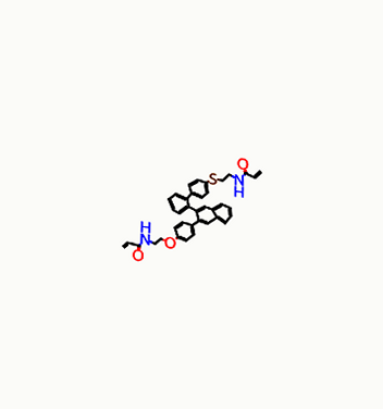 C=CC(=O)NCCOc1ccc(-c2cc3ccccc3cc2-c2ccccc2-c2ccc(SCCNC(=O)C=C)cc2)cc1